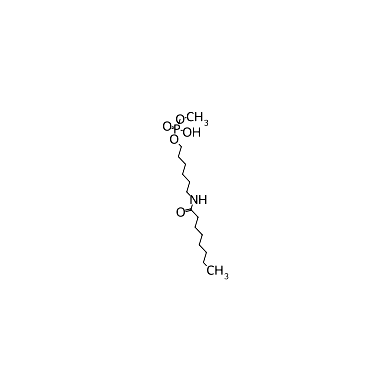 CCCCCCCC(=O)NCCCCCCOP(=O)(O)OC